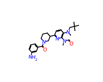 CN(C=O)c1nc(C2CCCN(C(=O)c3cccc(N)c3)C2)ccc1N(C)CC(C)(C)C